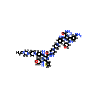 CN1CCN(C2CCN(c3ccc(Nc4nc(NC5CCOCC5)c(-c5cccs5)nc4C(=O)NN4CCN(C5CCN(c6ccc(Nc7nc(NC8CCOCC8)c(-c8cccc(N)c8)nc7C(N)=O)cc6)CC5)CC4)cc3)CC2)CC1